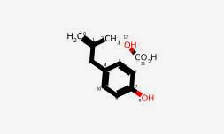 C=C(C)Cc1ccc(O)cc1.O=C(O)O